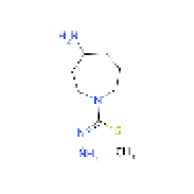 CSC(=NN)N1CCCC(N)CC1